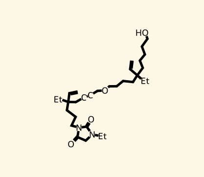 C=CC(CC)(CCCCCO)CCCCOCCCCC(C=C)(CC)CCCN1C(=O)CN(CC)C1=O